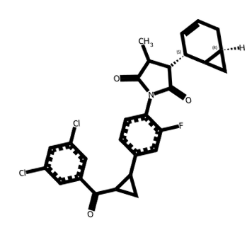 CC1C(=O)N(c2ccc(C3CC3C(=O)c3cc(Cl)cc(Cl)c3)cc2F)C(=O)C1[C@@H]1C=CC[C@H]2CC21